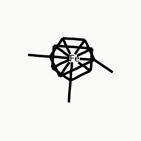 C[C]12[CH]3[CH]4[CH]5[CH]1[Fe]45321678[CH]2[CH]1[C]6(C)[CH]7[C]28C